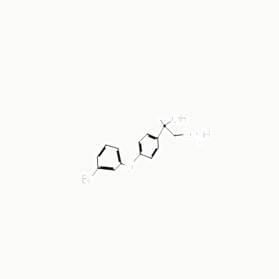 CC(O)(CC(=O)O)c1ccc(Oc2cccc(Br)c2)cc1